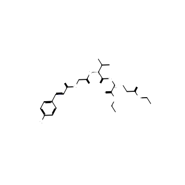 CCOC(=O)CC[C@@H](NC(=O)[C@@H](NC(=O)CNC(=O)/C=C/c1ccc(N)cc1)C(C)C)C(=O)OCC